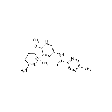 COC1NC=C(NC(=O)c2cnc(C)cn2)C=C1[C@]1(C)CCSC(N)=N1